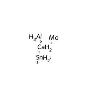 [AlH3].[CaH2].[Mo].[SnH2]